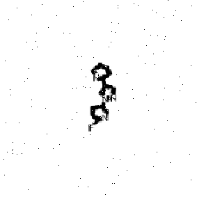 Fc1ccc(-n2cc(-c3ccccn3)cn2)cn1